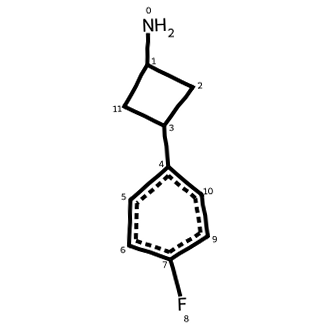 NC1CC(c2ccc(F)cc2)C1